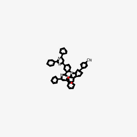 N#Cc1ccc(-c2ccc3c4ccccc4n(-c4ccc(-c5cc(-c6ccccc6)nc(-c6ccccc6)n5)cc4-c4nc(-c5ccccc5)cc(-c5ccccc5)n4)c3c2)cc1